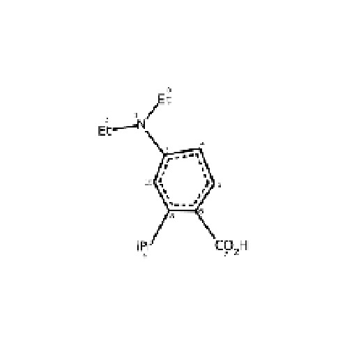 CCN(CC)c1ccc(C(=O)O)c(C(C)C)c1